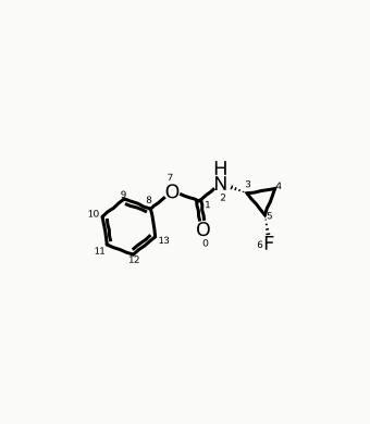 O=C(N[C@@H]1C[C@@H]1F)Oc1ccccc1